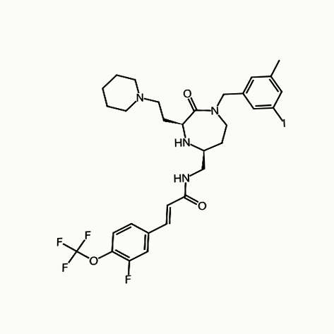 Cc1cc(I)cc(CN2CC[C@@H](CNC(=O)/C=C/c3ccc(OC(F)(F)F)c(F)c3)N[C@@H](CCN3CCCCC3)C2=O)c1